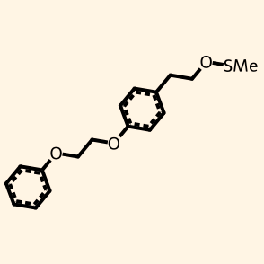 CSOCCc1ccc(OCCOc2ccccc2)cc1